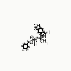 COc1ccc2c(Cl)nn(C(C)CNC(=O)OCc3ccccc3)c2c1